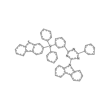 c1ccc(-c2nc(-c3cccc([Si](c4ccccc4)(c4ccccc4)c4ccc5c(c4)sc4ccccc45)c3)nc(-n3c4ccccc4c4ccccc43)n2)cc1